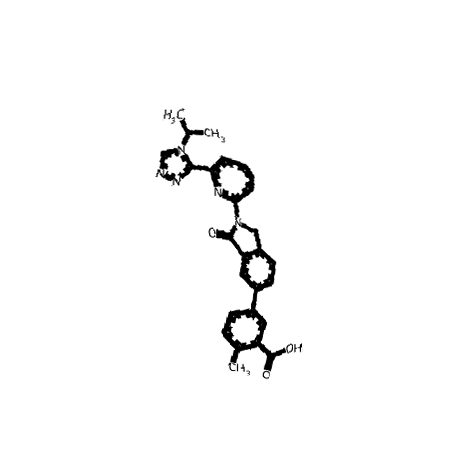 Cc1ccc(-c2ccc3c(c2)C(=O)N(c2cccc(-c4nncn4C(C)C)n2)C3)cc1C(=O)O